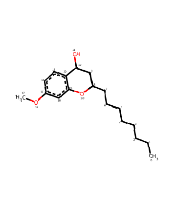 CCCCCCCCC1CC(O)c2ccc(OC)cc2O1